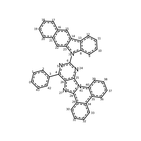 c1ccc(-c2nc(-n3c4ccccc4c4cc5ccccc5cc43)nc3c2nc2c4ccccc4c4ccccc4n32)cc1